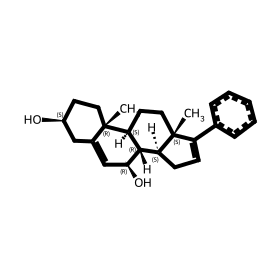 C[C@]12CC[C@H](O)CC1=C[C@H](O)[C@@H]1[C@@H]2CC[C@]2(C)C(c3ccccc3)=CC[C@@H]12